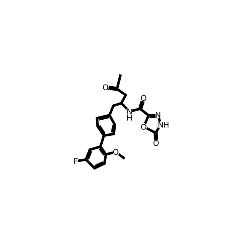 COc1ccc(F)cc1-c1ccc(CC(CC(C)=O)NC(=O)c2n[nH]c(=O)o2)cc1